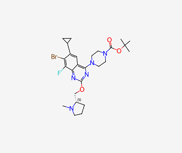 CN1CCC[C@H]1COc1nc(N2CCN(C(=O)OC(C)(C)C)CC2)c2cc(C3CC3)c(Br)c(F)c2n1